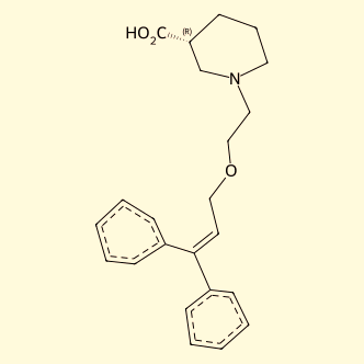 O=C(O)[C@@H]1CCCN(CCOCC=C(c2ccccc2)c2ccccc2)C1